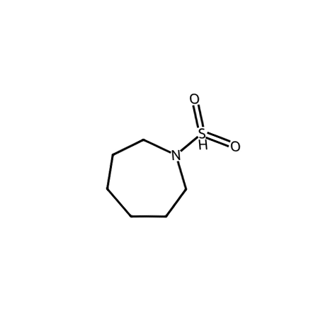 O=[SH](=O)N1CCCCCC1